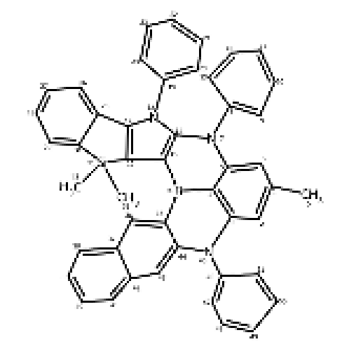 Cc1cc2c3c(c1)N(c1ccccc1)c1c(c4c(n1-c1ccccc1)-c1ccccc1[Si]4(C)C)B3c1cc3ccccc3cc1N2c1ccccc1